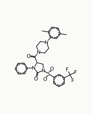 Cc1ccc(C)c(N2CCN(C(=O)C3CN(S(=O)(=O)c4cccc(C(F)(F)F)c4)C(=O)N3c3ccccc3)CC2)c1